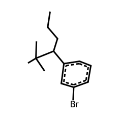 CCCC(c1cccc(Br)c1)C(C)(C)C